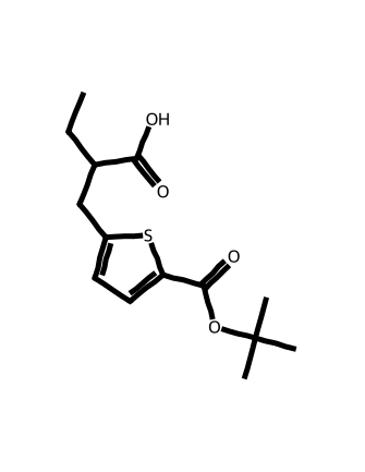 CCC(Cc1ccc(C(=O)OC(C)(C)C)s1)C(=O)O